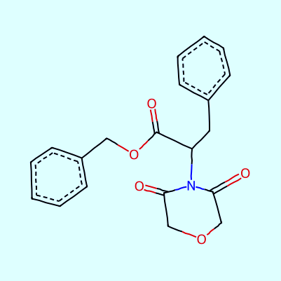 O=C(OCc1ccccc1)C(Cc1ccccc1)N1C(=O)COCC1=O